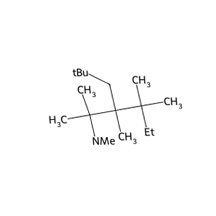 CCC(C)(C)C(C)(CC(C)(C)C)C(C)(C)NC